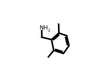 Cc1cccc(C)c1[CH]N